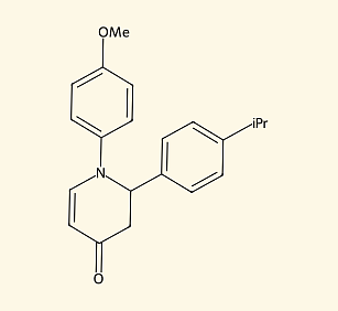 COc1ccc(N2C=CC(=O)CC2c2ccc(C(C)C)cc2)cc1